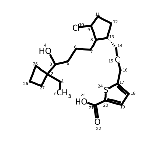 CCC1(C(O)CCCC2C(Cl)CC[C@@H]2CCCc2ccc(C(=O)O)s2)CCC1